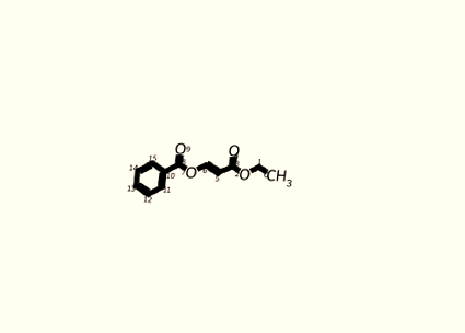 CCOC(=O)C=COC(=O)c1ccccc1